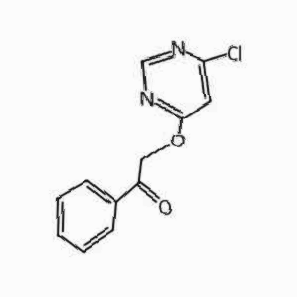 O=C(COc1cc(Cl)ncn1)c1ccccc1